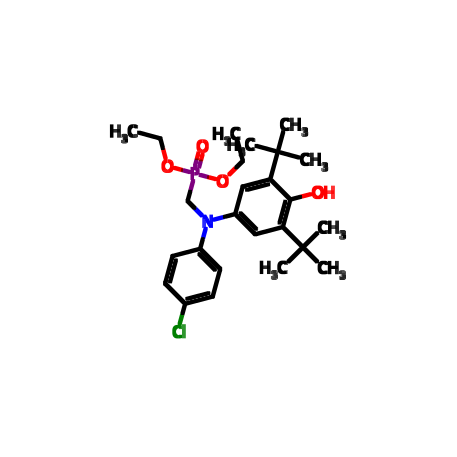 CCOP(=O)(CN(c1ccc(Cl)cc1)c1cc(C(C)(C)C)c(O)c(C(C)(C)C)c1)OCC